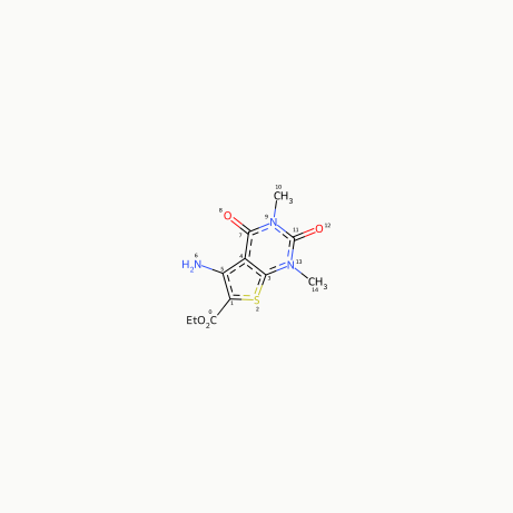 CCOC(=O)c1sc2c(c1N)c(=O)n(C)c(=O)n2C